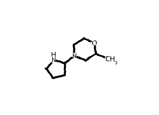 CC1CN(C2CCCN2)CCO1